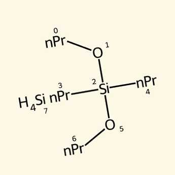 CCCO[Si](CCC)(CCC)OCCC.[SiH4]